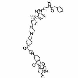 O=C1CC[C@H](N2C(=O)c3ccc(N4CC(C(=O)N5CCC6(CC5)CC(N5CCN(c7ccc(Nc8ncnc9c8ncn9C8CC(NC(=O)Cc9ccccc9)C8)cc7)CC5)C6)C4)cc3C2=O)C(=O)N1